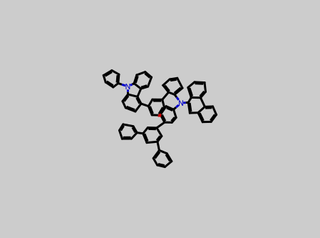 c1ccc(-c2cc(-c3ccccc3)cc(-c3ccc(N(c4ccccc4-c4cccc(-c5cccc6c5c5ccccc5n6-c5ccccc5)c4)c4cc5ccccc5c5ccccc45)cc3)c2)cc1